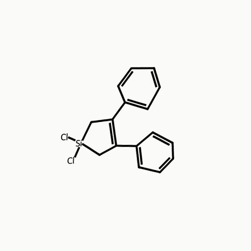 Cl[Si]1(Cl)CC(c2ccccc2)=C(c2ccccc2)C1